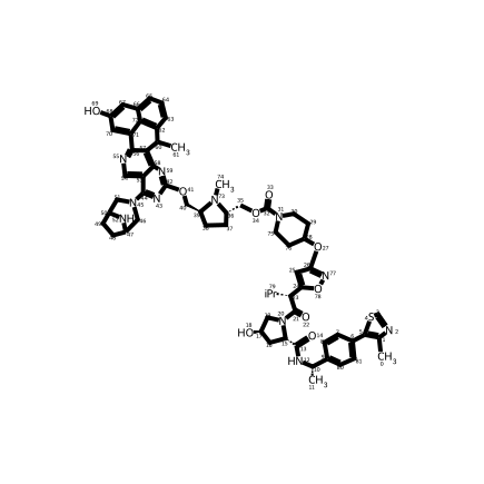 Cc1ncsc1-c1ccc([C@H](C)NC(=O)[C@@H]2C[C@@H](O)CN2C(=O)[C@@H](c2cc(OC3CCN(C(=O)OC[C@@H]4CC[C@@H](COc5nc(N6CC7CCC(C6)N7)c6cnc7c(c6n5)C(C)c5cccc6cc(O)cc-7c56)N4C)CC3)no2)C(C)C)cc1